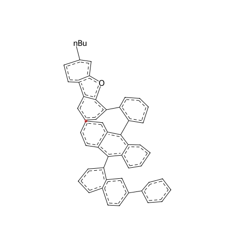 CCCCc1ccc2c(c1)oc1c(-c3ccccc3-c3c4ccccc4c(-c4cccc5ccc(-c6ccccc6)cc45)c4ccccc34)cccc12